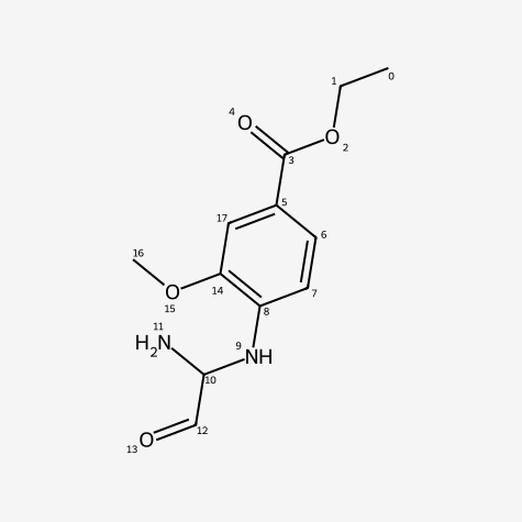 CCOC(=O)c1ccc(NC(N)C=O)c(OC)c1